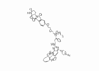 CC(=O)N1CCN(c2nc(NCCC(=O)N(C)CCOCCOc3ccc4c(c3)C(=O)N(C3CCC(=O)NC3=O)C4=O)nc3c(F)c(C4=C(F)C=CCCC4O)c(Cl)cc23)CC1